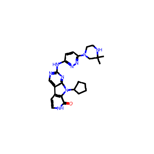 CC1(C)CN(c2ccc(Nc3ncc4c5cc[nH]c(=O)c5n(C5CCCC5)c4n3)nn2)CCN1